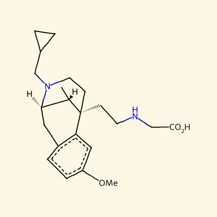 COc1ccc2c(c1)[C@]1(CCNCC(=O)O)CCN(CC3CC3)[C@H](C2)[C@@H]1C